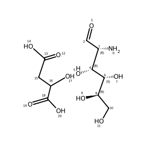 N[C@@H](C=O)[C@@H](O)[C@H](O)[C@H](O)CO.O=C(O)CC(O)C(=O)O